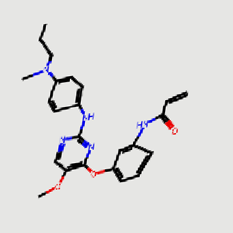 C=CC(=O)Nc1cccc(Oc2nc(Nc3ccc(N(C)CCC)cc3)ncc2OC)c1